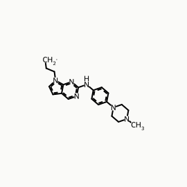 [CH2]CCn1ccc2cnc(Nc3ccc(N4CCN(C)CC4)cc3)nc21